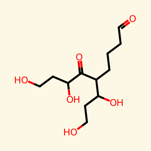 O=CCCCC(C(=O)C(O)CCO)C(O)CCO